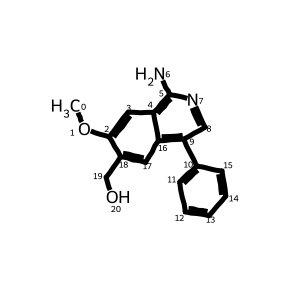 COc1cc2c(N)ncc(-c3ccccc3)c2cc1CO